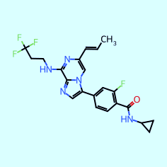 CC=Cc1cn2c(-c3ccc(C(=O)NC4CC4)c(F)c3)cnc2c(NCCC(F)(F)F)n1